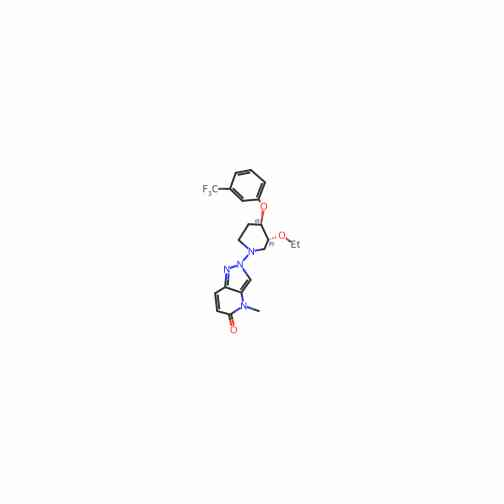 CCO[C@@H]1CN(n2cc3c(ccc(=O)n3C)n2)CC[C@H]1Oc1cccc(C(F)(F)F)c1